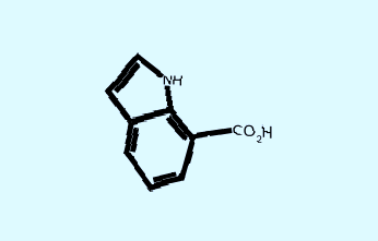 O=C(O)c1cccc2c[c][nH]c12